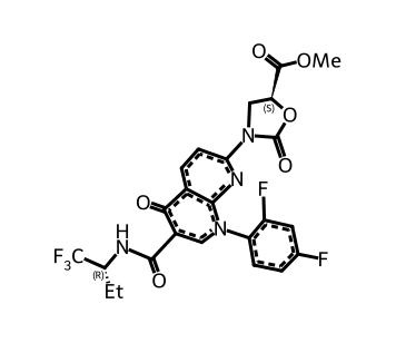 CC[C@@H](NC(=O)c1cn(-c2ccc(F)cc2F)c2nc(N3C[C@@H](C(=O)OC)OC3=O)ccc2c1=O)C(F)(F)F